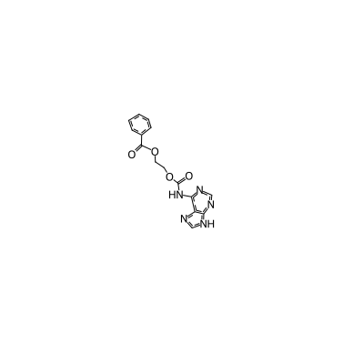 O=C(Nc1ncnc2[nH]cnc12)OCCOC(=O)c1ccccc1